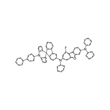 Fc1cc(N(c2ccccc2)c2ccc3c(c2)-c2ccccc2C32c3ccccc3N(c3ccc(-c4ccccc4)cc3)c3ccccc32)cc2oc3cc(N(c4ccccc4)c4ccccc4)ccc3c12